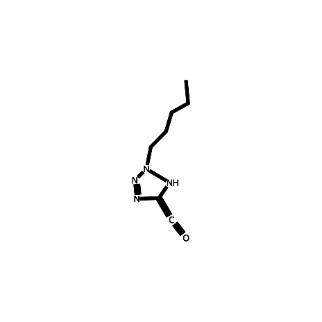 CCCCCN1N=NC(=C=O)N1